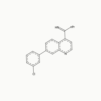 CCCC(=N)c1ccnc2cc(-c3cccc(Cl)c3)ccc12